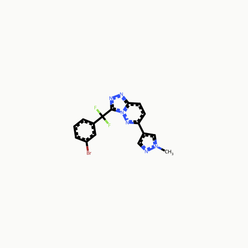 Cn1cc(-c2ccc3nnc(C(F)(F)c4cccc(Br)c4)n3n2)cn1